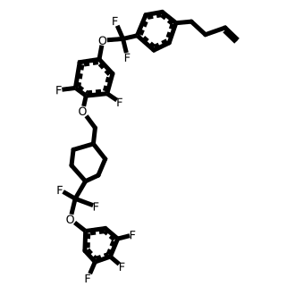 C=CCCc1ccc(C(F)(F)Oc2cc(F)c(OCC3CCC(C(F)(F)Oc4cc(F)c(F)c(F)c4)CC3)c(F)c2)cc1